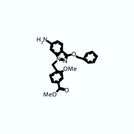 COC(=O)c1ccc(Cn2nc(OCc3ccccc3)c3ccc(N)cc32)c(OC)c1